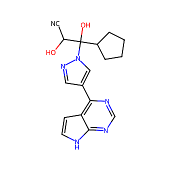 N#CC(O)C(O)(C1CCCC1)n1cc(-c2ncnc3[nH]ccc23)cn1